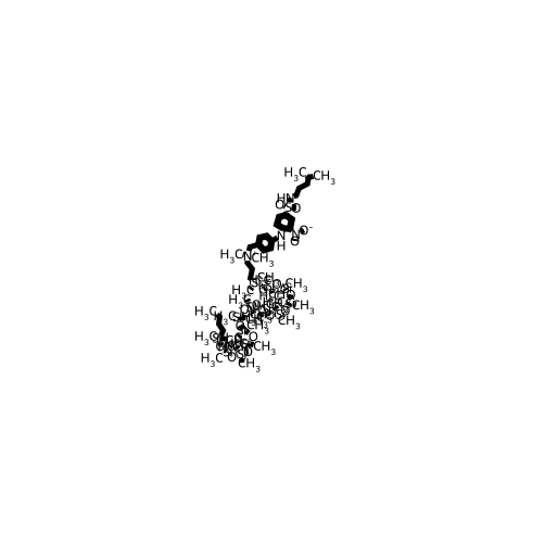 CCCC[Si](C)(C)O[Si](C)(C)O[Si](C)(C)O[Si](C)(C)O[Si](C)(C)O[Si](C)(C)O[Si](C)(C)O[Si](C)(C)O[Si](C)(C)O[Si](C)(C)O[Si](C)(C)O[Si](C)(C)O[Si](C)(C)CCC[N+](C)(C)Cc1ccc(Nc2ccc(S(=O)(=O)NCCCC(C)C)cc2[N+](=O)[O-])cc1